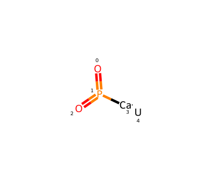 O=[P](=O)[Ca].[U]